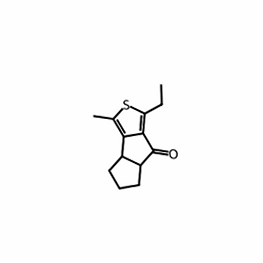 CCc1sc(C)c2c1C(=O)C1CCCC21